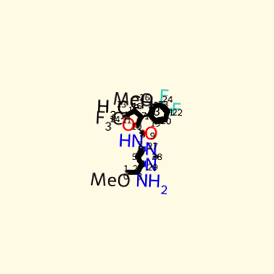 COC[C@@H](N)c1cc(NC(=O)[C@@H]2O[C@@](C)(C(F)(F)F)[C@@H](C)[C@H]2c2ccc(F)c(F)c2OC)ncn1